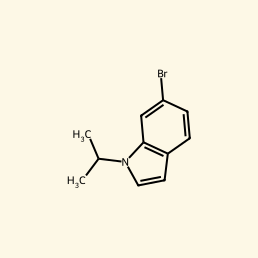 CC(C)n1ccc2ccc(Br)cc21